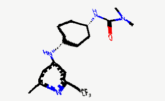 Cc1cc(N[C@H]2CC[C@@H](NC(=O)N(C)C)CC2)cc(C(F)(F)F)n1